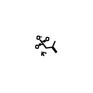 C=C(C)CS(=O)(=O)[O-].[K+]